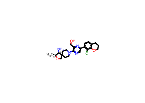 C[C@@H]1OCC2(CCN(c3ncc(-c4ccc5c(c4Cl)OCCC5)nc3CO)CC2)[C@@H]1N